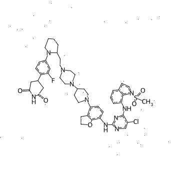 CS(=O)(=O)n1ccc2cccc(Nc3nc(Nc4ccc(N5CCC(N6CCN(CCC7CCCCN7c7ccc(C8CC(=O)NC(=O)C8)c(F)c7)CC6)CC5)c5c4OCC5)ncc3Cl)c21